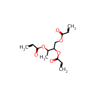 C=CC(=O)OCC(OC(=O)C=C)C(C)OC(=O)C=C